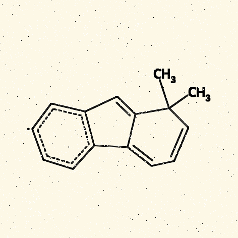 CC1(C)C=CC=C2C1=Cc1c[c]ccc12